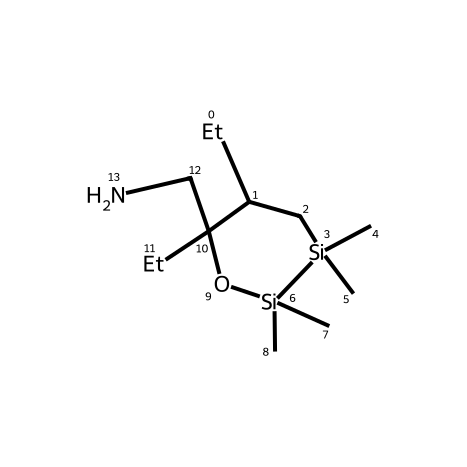 CCC1C[Si](C)(C)[Si](C)(C)OC1(CC)CN